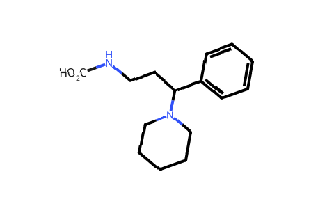 O=C(O)NCCC(c1ccccc1)N1CCCCC1